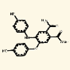 COC(=O)c1cc(Nc2ccc(C#N)cc2)c(Nc2ccc(C#N)cc2)cc1C(N)=O